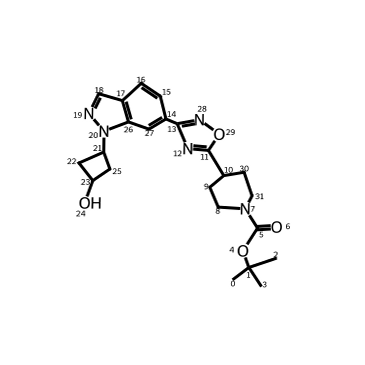 CC(C)(C)OC(=O)N1CCC(c2nc(-c3ccc4cnn(C5CC(O)C5)c4c3)no2)CC1